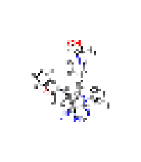 CC(CO)N1CCC(C#Cc2c(-c3ccc(Oc4ccccc4)cc3)c3c(N)ncnc3n2C(C)C)CC1